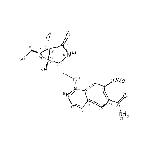 COc1cc2c(OC[C@H]3NC(=O)[C@@H]4[C@H](CF)[C@H]43)nccc2cc1C(N)=O